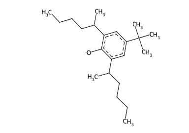 CCCCC(C)c1cc(C(C)(C)C)cc(C(C)CCCC)c1[O]